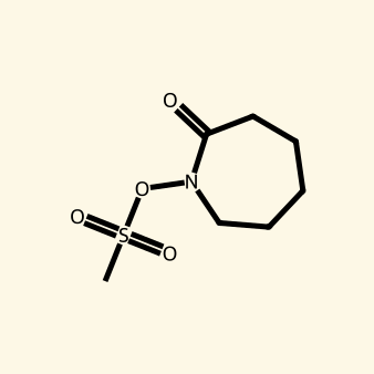 CS(=O)(=O)ON1CCCCCC1=O